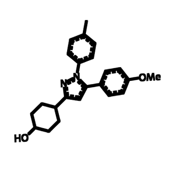 COc1ccc(-c2cc(C3CCC(O)CC3)nn2-c2ccc(C)cc2)cc1